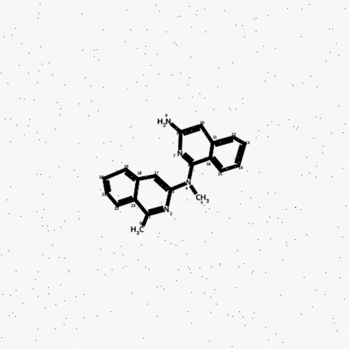 Cc1nc(N(C)c2nc(N)cc3ccccc23)cc2ccccc12